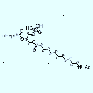 CCCCCCCC(=O)O[C@H](COC(=O)CCCCCCCCCCCNC(C)=O)COP(=O)(O)O